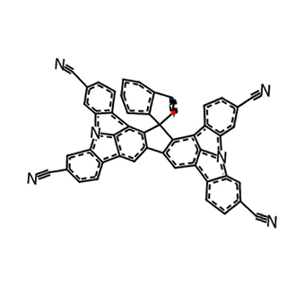 N#Cc1ccc2c3cc4c(c5c6ccc(C#N)cc6n(c2c1)c35)C1(c2ccccc2-c2ccccc21)c1c-4cc2c3ccc(C#N)cc3n3c4cc(C#N)ccc4c1c23